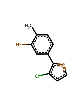 Cc1ccc(-c2sccc2Cl)cc1S